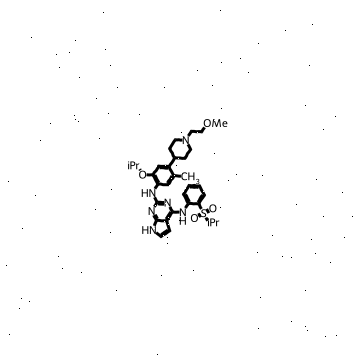 COCCN1CCC(c2cc(OC(C)C)c(Nc3nc(Nc4ccccc4S(=O)(=O)C(C)C)c4cc[nH]c4n3)cc2C)CC1